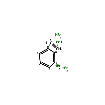 Br.Br.Br.Br.C=C.c1ccccc1